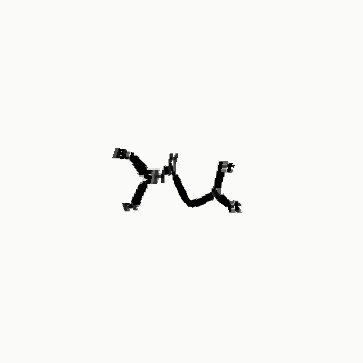 CCC(C)[SiH](NCN(CC)CC)C(C)C